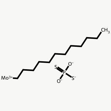 CCCCCCCCCCC[CH2][Mo+3].[O-]P([O-])(=S)[S-]